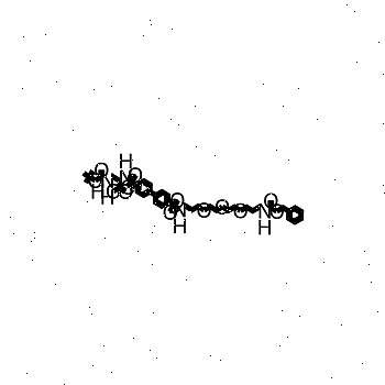 CC(C)(C)OC(=O)NCC(NS(=O)(=O)c1ccc(-c2ccc(S(=O)(=O)NCCCOCCOCCOCCCNC(=O)OCc3ccccc3)cc2)cc1)C(=O)O